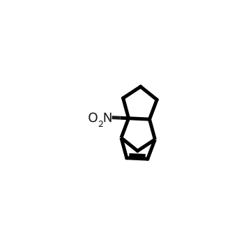 O=[N+]([O-])C12CCCC1C1C=CC2C1